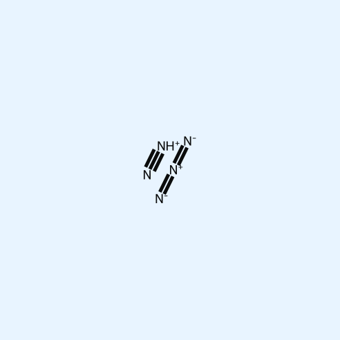 N#[NH+].[N-]=[N+]=[N-]